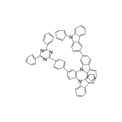 c1ccc(-c2nc(-c3ccccc3)nc(-c3ccc(-c4ccc(-n5c6ccccc6c6ccccc65)c(-n5c6ccccc6c6ccc(-c7ccc8c(c7)c7ccccc7n8-c7ccccc7)cc65)c4)cc3)n2)cc1